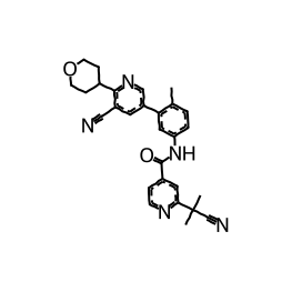 Cc1ccc(NC(=O)c2ccnc(C(C)(C)C#N)c2)cc1-c1cnc(C2CCOCC2)c(C#N)c1